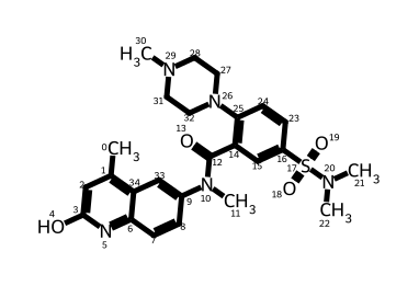 Cc1cc(O)nc2ccc(N(C)C(=O)c3cc(S(=O)(=O)N(C)C)ccc3N3CCN(C)CC3)cc12